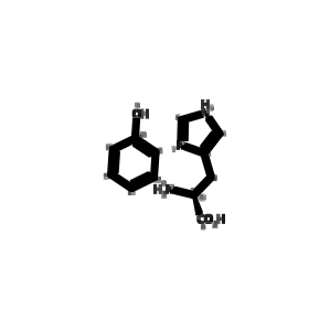 N[C@@H](Cc1c[nH]cn1)C(=O)O.Oc1ccccc1